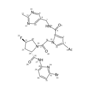 CC(=O)c1cc(C(=O)NCc2cnc(C)nc2)n(CC(=O)N2C[C@H](F)C[C@H]2C(=O)Nc2cccc(Br)n2)c1